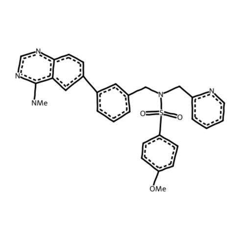 CNc1ncnc2ccc(-c3cccc(CN(Cc4ccccn4)S(=O)(=O)c4ccc(OC)cc4)c3)cc12